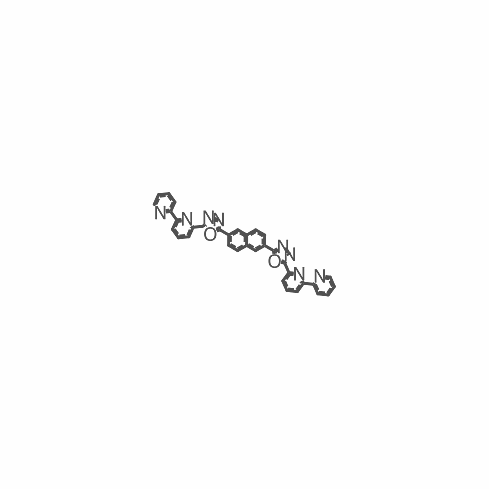 c1ccc(-c2cccc(-c3nnc(-c4ccc5cc(-c6nnc(-c7cccc(-c8ccccn8)n7)o6)ccc5c4)o3)n2)nc1